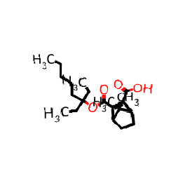 CCCCCC(CC)(CC)OC(=O)C1=C(C(=O)O)C2CCC1C2(C)C